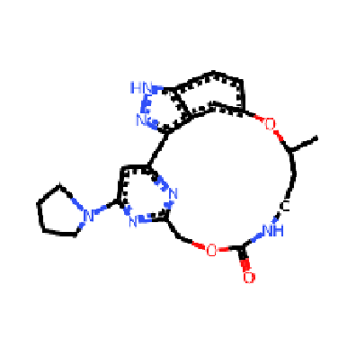 CC1CCNC(=O)OCc2nc(cc(N3CCCC3)n2)-c2n[nH]c3ccc(cc23)O1